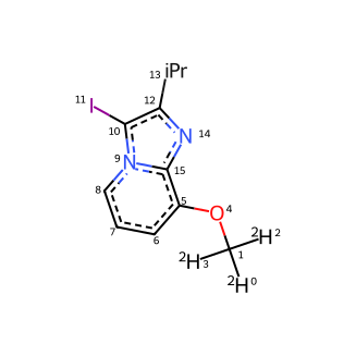 [2H]C([2H])([2H])Oc1cccn2c(I)c(C(C)C)nc12